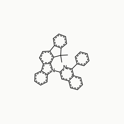 CC1(C)c2ccccc2-c2ccc3c4ccccc4n(-c4cc5ccccc5c(-c5ccccc5)n4)c3c21